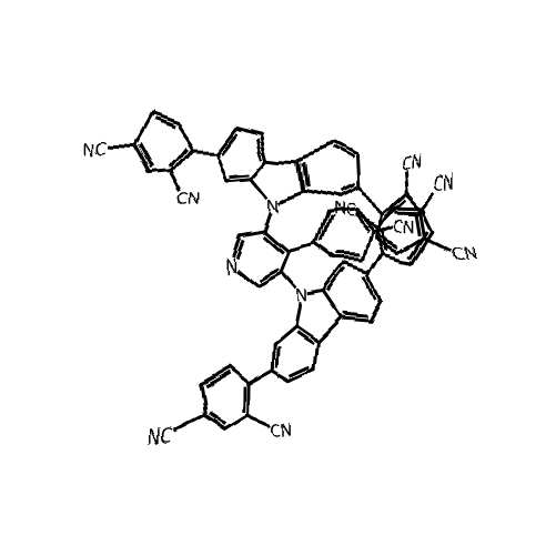 N#Cc1ccc(-c2c(-n3c4cc(-c5ccc(C#N)cc5C#N)ccc4c4ccc(-c5ccc(C#N)cc5C#N)cc43)cncc2-n2c3cc(-c4ccc(C#N)cc4C#N)ccc3c3ccc(-c4ccc(C#N)cc4C#N)cc32)cc1